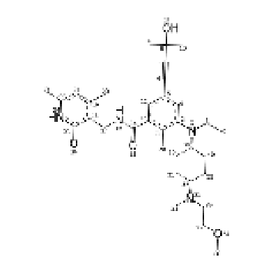 CCN(c1cc(C#CC(C)(C)O)cc(C(=O)NCc2c(C)cc(C)[nH]c2=O)c1C)[C@H]1CC[C@H](N(C)CCOC)CC1